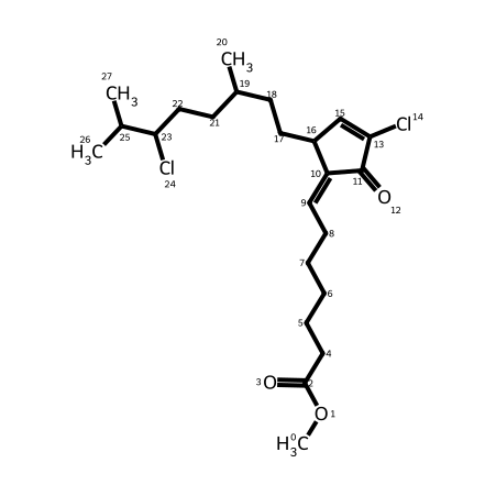 COC(=O)CCCCCC=C1C(=O)C(Cl)=CC1CCC(C)CCC(Cl)C(C)C